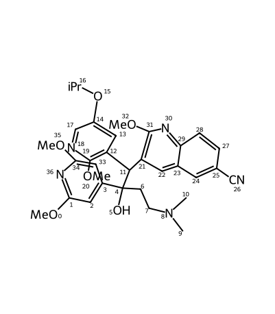 COc1cc(C(O)(CCN(C)C)C(c2cc(OC(C)C)cnc2OC)c2cc3cc(C#N)ccc3nc2OC)cc(OC)n1